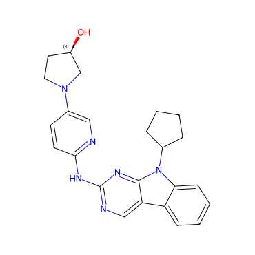 O[C@@H]1CCN(c2ccc(Nc3ncc4c5ccccc5n(C5CCCC5)c4n3)nc2)C1